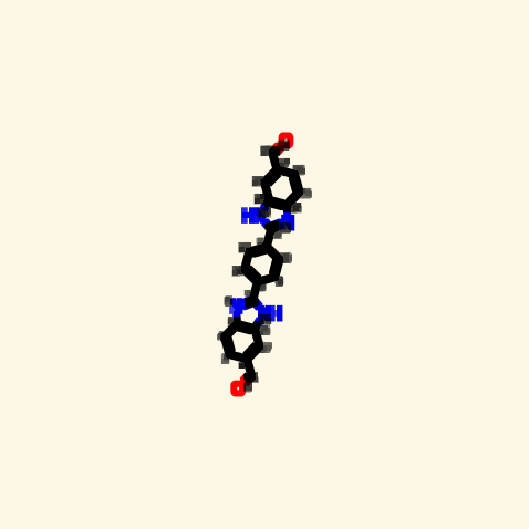 O=Cc1ccc2nc(-c3ccc(-c4nc5ccc(C=O)cc5[nH]4)cc3)[nH]c2c1